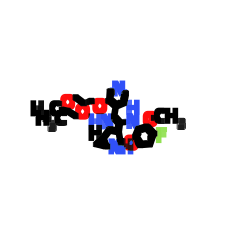 COc1c(F)cccc1Nc1c(-c2ccncc2OC[C@@H]2COC(C)(C)CO2)[nH]c2c1C(=O)NC1C[C@H]21